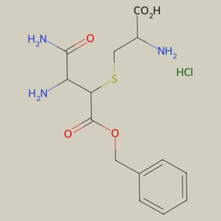 Cl.NC(=O)C(N)C(SCC(N)C(=O)O)C(=O)OCc1ccccc1